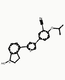 CC(C)Oc1ccc(-c2csc(-c3cccc4c3CC[C@H]4O)c2)cc1C#N